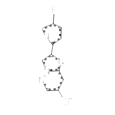 Fc1ccc(-c2cn3ncc(C(F)(F)F)cc3n2)nc1